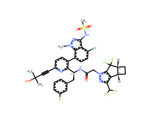 Cn1nc(NS(C)(=O)=O)c2c(Cl)ccc(-c3ccc(C#CC(C)(C)O)nc3[C@H](Cc3cccc(F)c3)NC(=O)Cn3nc(C(F)F)c4c3C(F)(F)[C@@H]3CC[C@H]43)c21